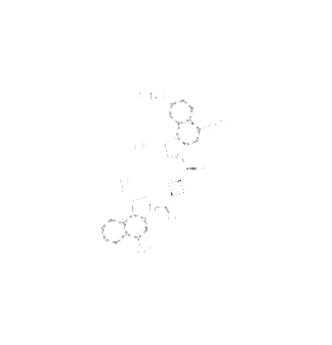 CC(=O)Nc1ccc2c(OC(C)=O)cc3c(c2c1)[C@@H](CCl)CN3C(=O)C12CC(C(=O)N3C[C@@H](CCl)c4c3cc(OC(C)=O)c3ccccc43)(C1)C2